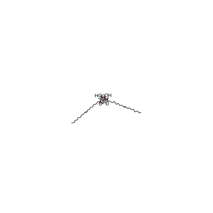 CCCCCCCCC=CCCCCCCCC(=O)C(C)(CC(O)(NC)C(C)(C(=O)O)C(=O)CCCCCCCC=CCCCCCCCC)C(=O)O